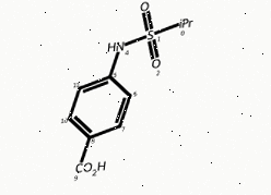 CC(C)S(=O)(=O)Nc1ccc(C(=O)O)cc1